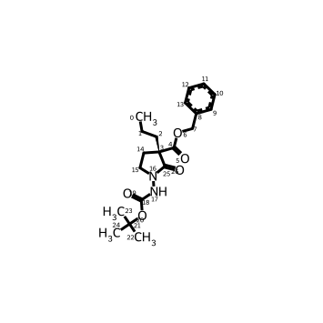 CCC[C@]1(C(=O)OCc2ccccc2)CCN(NC(=O)OC(C)(C)C)C1=O